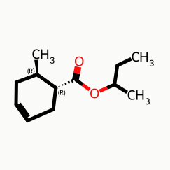 CCC(C)OC(=O)[C@@H]1CC=CC[C@H]1C